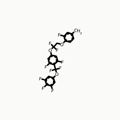 Cc1ccc(OCC(F)(F)Oc2cc(F)c(C(F)(F)Oc3cc(F)c(F)c(F)c3)c(F)c2)c(F)c1